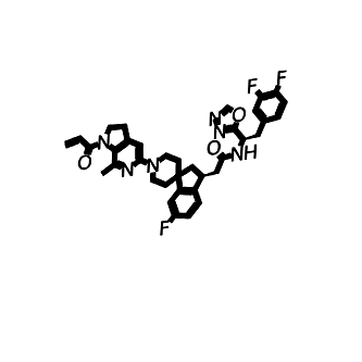 C=CC(=O)N1CCc2cc(N3CCC4(CC3)C[C@@H](CC(=O)N[C@H](Cc3ccc(F)c(F)c3)c3nnco3)c3ccc(F)cc34)nc(C)c21